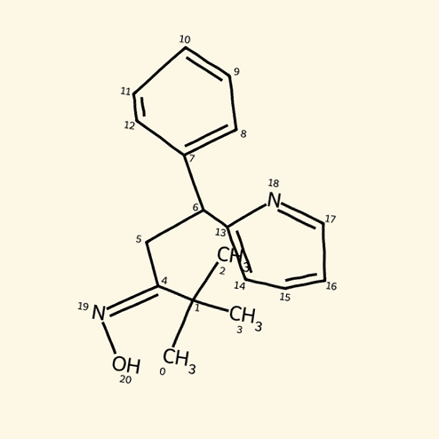 CC(C)(C)/C(CC(c1ccccc1)c1ccccn1)=N\O